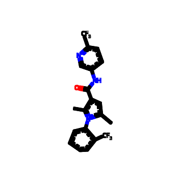 Cc1cc(C(=O)Nc2ccc(C(F)(F)F)nc2)c(C)n1-c1ccccc1C(F)(F)F